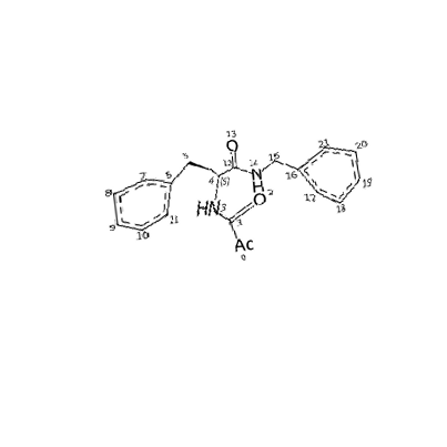 CC(=O)C(=O)N[C@@H](Cc1ccccc1)C(=O)NCc1ccccc1